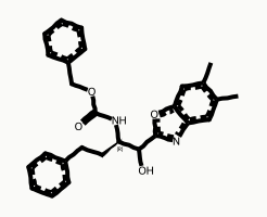 Cc1cc2nc(C(O)[C@@H](CCc3ccccc3)NC(=O)OCc3ccccc3)oc2cc1C